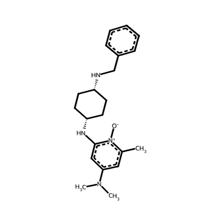 Cc1cc(N(C)C)cc(N[C@H]2CC[C@@H](NCc3ccccc3)CC2)[n+]1[O-]